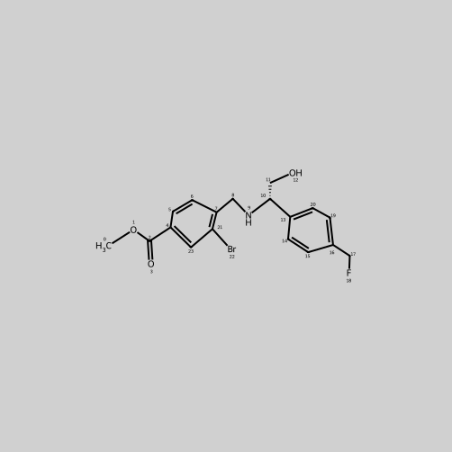 COC(=O)c1ccc(CN[C@H](CO)c2ccc(CF)cc2)c(Br)c1